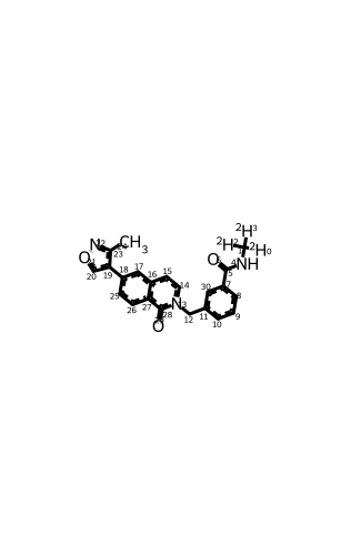 [2H]C([2H])([2H])NC(=O)c1cccc(Cn2ccc3cc(-c4conc4C)ccc3c2=O)c1